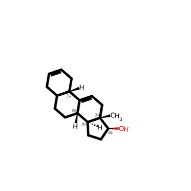 C[C@]12CC=C3[C@H]4CC=CCC4CC[C@H]3[C@@H]1CC[C@@H]2O